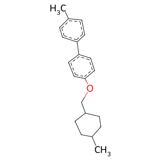 Cc1ccc(-c2ccc(OCC3CCC(C)CC3)cc2)cc1